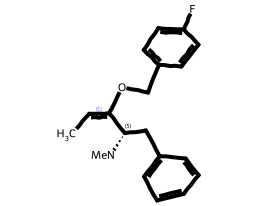 C/C=C(/OCc1ccc(F)cc1)[C@H](Cc1ccccc1)NC